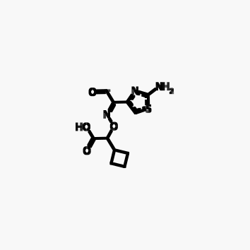 Nc1nc(/C([C]=O)=N\OC(C(=O)O)C2CCC2)cs1